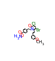 COc1cccc(/C=C/c2c(Br)cc(Cl)c(=O)n2CCc2ccc(C(=O)ON)cc2)c1